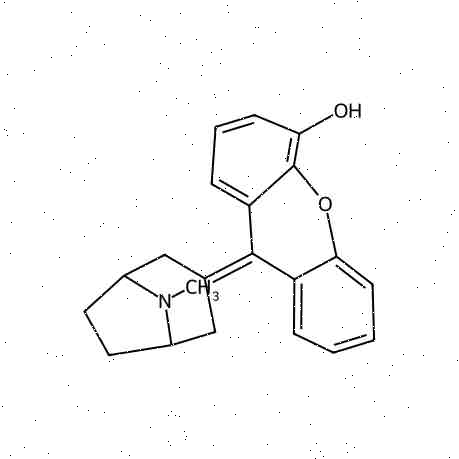 CN1C2CCC1CC(=C1c3ccccc3Oc3c(O)cccc31)C2